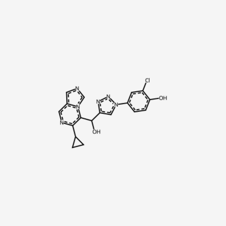 Oc1ccc(-n2cc(C(O)c3c(C4CC4)ncc4cncn34)nn2)cc1Cl